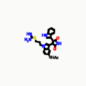 CC(=O)Nc1ccc2c(c1)c(C1=C(c3c[nH]c4ccccc34)C(=O)NC1=O)cn2CCCSC(=N)N